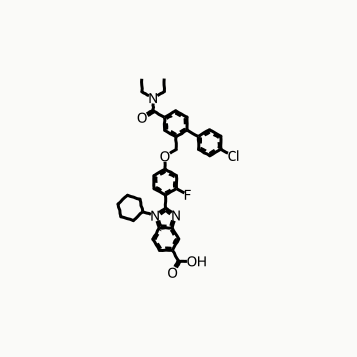 CCN(CC)C(=O)c1ccc(-c2ccc(Cl)cc2)c(COc2ccc(-c3nc4cc(C(=O)O)ccc4n3C3CCCCC3)c(F)c2)c1